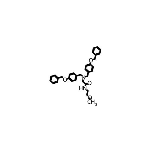 COCCNC(=O)CN(Cc1ccc(OCc2ccccc2)cc1)Cc1ccc(OCc2ccccc2)cc1